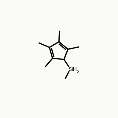 C[SiH2]C1C(C)=C(C)C(C)=C1C